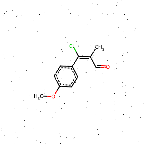 COc1ccc(C(Cl)=C(C)C=O)cc1